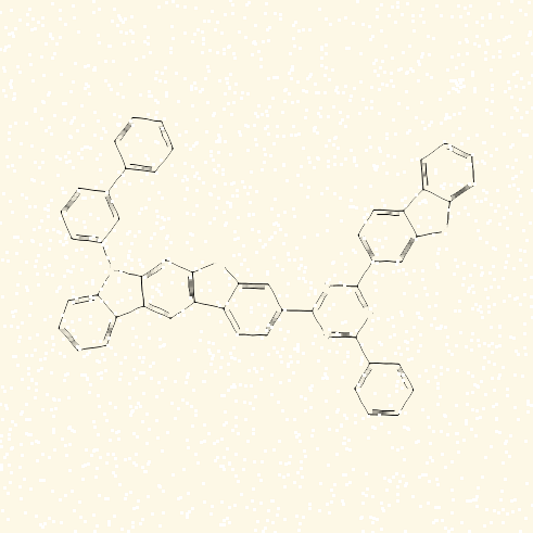 c1ccc(-c2cccc(-n3c4ccccc4c4cc5c(cc43)oc3cc(-c4nc(-c6ccccc6)nc(-c6ccc7c(c6)sc6ccccc67)n4)ccc35)c2)cc1